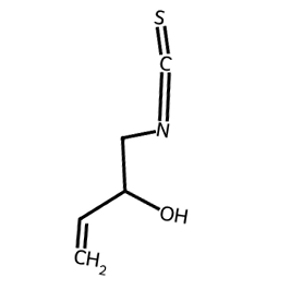 C=CC(O)CN=C=S